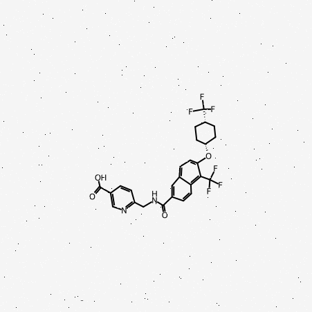 O=C(O)c1ccc(CNC(=O)c2ccc3c(C(F)(F)F)c(O[C@H]4CC[C@@H](C(F)(F)F)CC4)ccc3c2)nc1